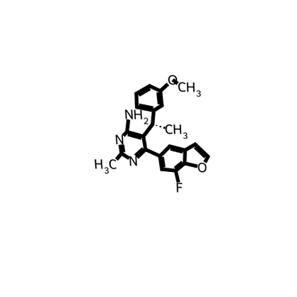 COc1cccc([C@H](C)c2c(N)nc(C)nc2-c2cc(F)c3occc3c2)c1